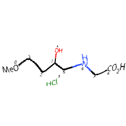 COCCC(O)CNCC(=O)O.Cl